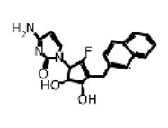 Nc1ccn(C2C(F)=C(Cc3[c]c4ccccc4cc3)[C@@H](O)[C@H]2O)c(=O)n1